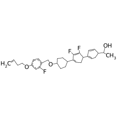 C=CCCOc1ccc(COC2CCC(C3=CCC(C4=CCC(C(C)O)C=C4)C(F)=C3F)CC2)c(F)c1